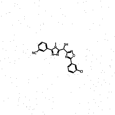 Cn1c(-c2cccc(C#N)c2)nnc1C(S)c1noc(-c2cccc(Cl)c2)n1